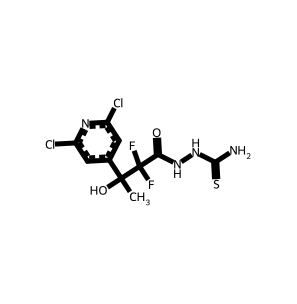 CC(O)(c1cc(Cl)nc(Cl)c1)C(F)(F)C(=O)NNC(N)=S